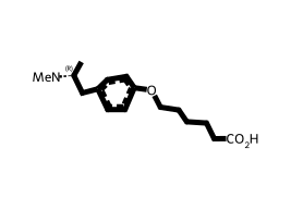 CN[C@H](C)Cc1ccc(OCCCCCC(=O)O)cc1